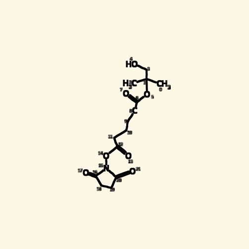 CC(C)(CO)OC(=O)CCCCC(=O)ON1C(=O)CCC1=O